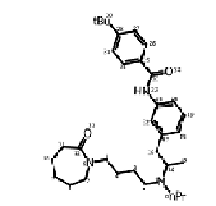 CCCN(CCCCN1CCCCCC1=O)C(C)Cc1cccc(NC(=O)c2ccc(C(C)(C)C)cc2)c1